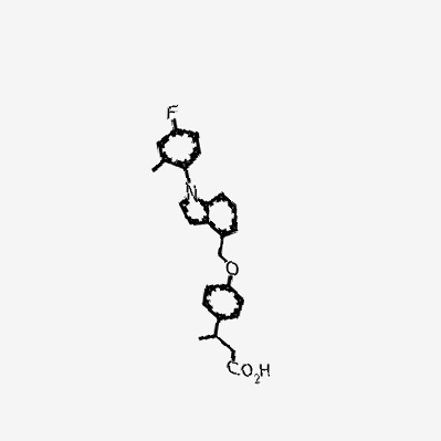 Cc1cc(F)ccc1-n1ccc2c(COc3ccc(C(C)CC(=O)O)cc3)cccc21